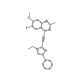 CCn1cc(-c2ccccc2)nc1C#Cc1nc(C)nc2cc(OC)c(F)cc12